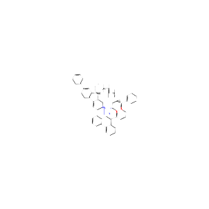 CC1(C)c2cc(-c3ccccc3)ccc2-c2ccc(N(c3ccc(-c4ccccc4)cc3)c3c(-c4ccccc4)c4ccccc4c4ccccc34)cc21